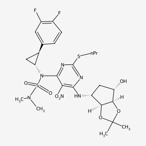 CCCSc1nc(N[C@@H]2C[C@H](O)[C@H]3OC(C)(C)O[C@H]32)c([N+](=O)[O-])c(N([C@@H]2C[C@H]2c2ccc(F)c(F)c2)S(=O)(=O)N(C)C)n1